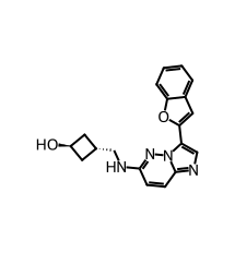 O[C@H]1C[C@H](CNc2ccc3ncc(-c4cc5ccccc5o4)n3n2)C1